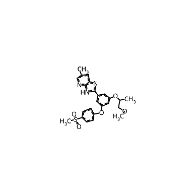 COCC(C)Oc1cc(Oc2ccc(S(C)(=O)=O)cc2)cc(-c2nc3cc(C)cnc3[nH]2)c1